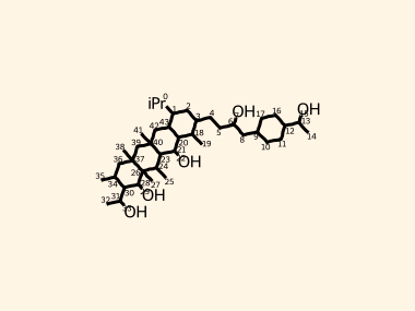 CC(C)C1CC(CCC(O)CC2CCC(C(C)O)CC2)C(C)C2C(O)C3C(C)C4(C)C(O)C(C(C)O)C(C)CC4(C)CC3(C)CC12